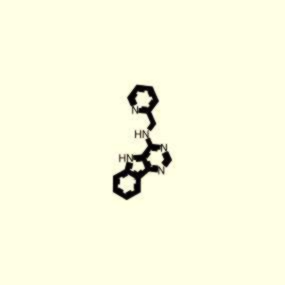 c1ccc(CNc2ncnc3c2[nH]c2ccccc23)nc1